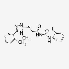 Cc1ccccc1-c1nnc(SCC(=O)NC(=O)Nc2ccccc2I)n1C